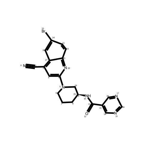 N#Cc1cc(N2CCC[C@H](NC(=O)c3cncnc3)C2)nc2ccc(Br)cc12